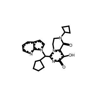 O=C1c2c(O)c(=O)nc(C(C3CCCC3)n3ccc4cccnc43)n2CCN1C1CCC1